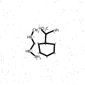 BBCBC.CCCC(C(=O)O)C1CCCCC1